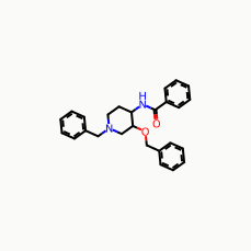 O=C(NC1CCN(Cc2ccccc2)CC1OCc1ccccc1)c1ccccc1